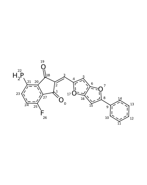 O=C1/C(=C\c2cc3oc(-c4ccccc4)cc3o2)C(=O)c2c(P)ccc(F)c21